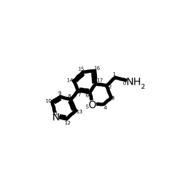 NCC1CCOc2c(-c3ccncc3)cccc21